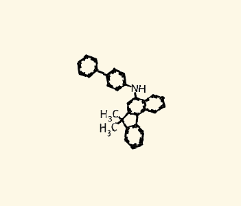 CC1(C)c2ccccc2-c2c1cc(Nc1ccc(-c3ccccc3)cc1)c1ccccc21